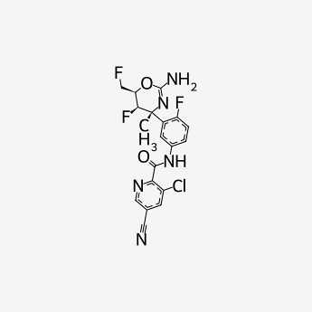 C[C@]1(c2cc(NC(=O)c3ncc(C#N)cc3Cl)ccc2F)N=C(N)O[C@H](CF)[C@@H]1F